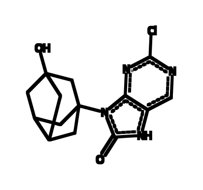 O=c1[nH]c2cnc(Cl)nc2n1C12CC3CC(O)(CC3C1)C2